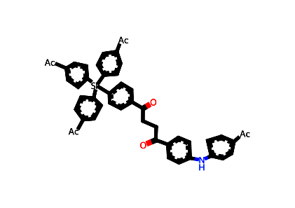 CC(=O)c1ccc(Nc2ccc(C(=O)CCC(=O)c3ccc([Si](c4ccc(C(C)=O)cc4)(c4ccc(C(C)=O)cc4)c4ccc(C(C)=O)cc4)cc3)cc2)cc1